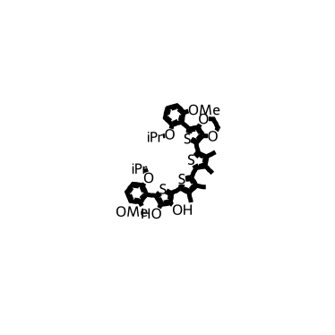 COc1cccc(OC(C)C)c1-c1sc(-c2sc(-c3sc(-c4sc(-c5c(OC)cccc5OC(C)C)c5c4OCCO5)c(C)c3C)c(C)c2C)c(O)c1O